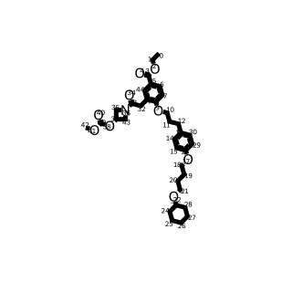 CCOC(=O)c1ccc(OCCCc2ccc(OCCCCOC3CCCCC3)cc2)c(CC(=O)N2CC(OC(=O)OC)C2)c1